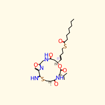 CCCCCCCC(=O)SCC/C=C/[C@@H]1CC(=O)NCc2nc(co2)C(=N)SC[C@@H](C)C(=O)N[C@@H](C(C)C)C(=O)O1